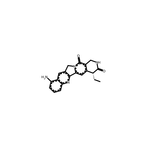 CC[C@H]1C(=O)NCc2c1cc1n(c2=O)Cc2cc3c(N)cccc3nc2-1